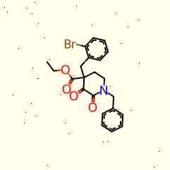 CCOC(=O)C1(Cc2ccccc2Br)CCN(Cc2ccccc2)C(=O)C1=O